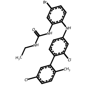 CCNC(=O)Nc1cc(Br)ccc1Nc1ccc(-c2cc(Cl)ccc2C)c(Cl)c1